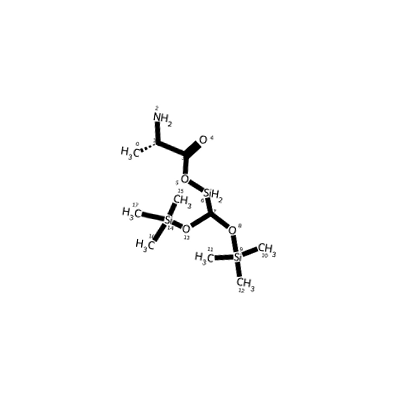 C[C@H](N)C(=O)O[SiH2]C(O[Si](C)(C)C)O[Si](C)(C)C